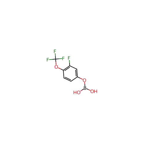 OB(O)Oc1ccc(OC(F)(F)F)c(F)c1